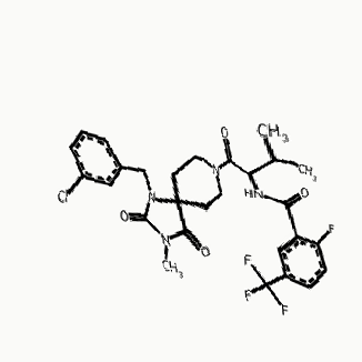 CC(C)C(NC(=O)c1cc(C(F)(F)F)ccc1F)C(=O)N1CCC2(CC1)C(=O)N(C)C(=O)N2Cc1cccc(Cl)c1